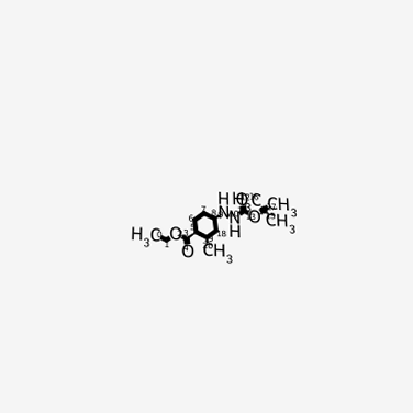 CCOC(=O)[C@H]1CC[C@@H](NNC(=O)OC(C)(C)C)C[C@H]1C